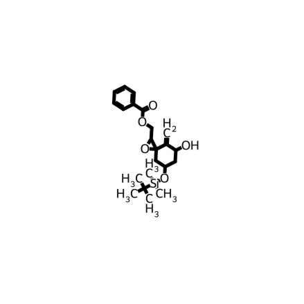 C=C1C(O)CC(O[Si](C)(C)C(C)(C)C)CC12OC2COC(=O)c1ccccc1